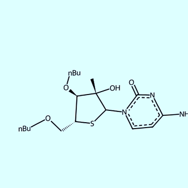 CCCCOC[C@H]1SC(n2ccc(N)nc2=O)[C@@](C)(O)[C@@H]1OCCCC